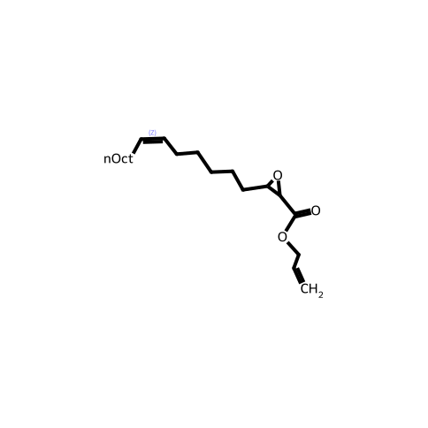 C=CCOC(=O)C1OC1CCCCC/C=C\CCCCCCCC